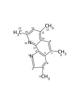 Cc1cnc2c(c1)c(C)cc1c(C)cc(C)nc12